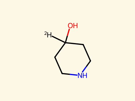 [2H]C1(O)CCNCC1